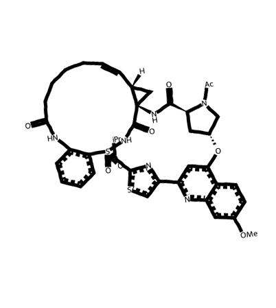 COc1ccc2c(O[C@@H]3C[C@@H](C(=O)N[C@]45C[C@H]4/C=C\CCCCC(=O)Nc4ccccc4S(=O)(=O)NC5=O)N(C(C)=O)C3)cc(-c3csc(NC(C)C)n3)nc2c1